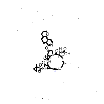 C[C@H]1CC/C=C\C2CC2(C(=O)NS(=O)(=O)C2(C)CC2)NC(=O)[C@@H]2C[C@@H](Oc3nccc4c5c(ccc34)CCCO5)CN2C(=O)[C@@H](NC(=O)O)[C@H](C)C1